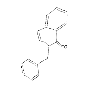 O=C1c2ccccc2C=CC1Cc1ccccc1